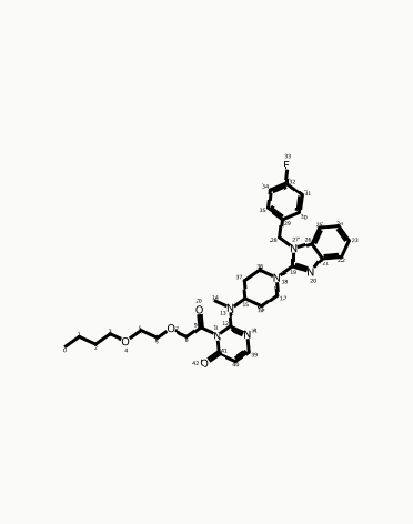 CCCCOCCOCC(=O)n1c(N(C)C2CCN(c3nc4ccccc4n3Cc3ccc(F)cc3)CC2)nccc1=O